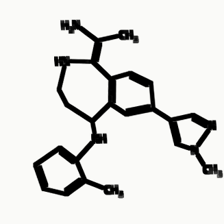 C/C(N)=C1/NCCC(Nc2ccccc2C)c2cc(-c3cnn(C)c3)ccc21